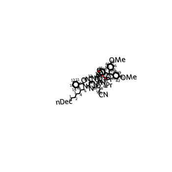 CCCCCCCCCCCCCCCCN(C(=O)c1ccccc1)c1ncnc2c1ncn2[C@@H]1O[C@@]2(COC(c3ccccc3)(c3ccc(OC)cc3)c3ccc(OC)cc3)COC1C2OP(OCCC#N)N(C(C)C)C(C)C